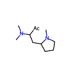 CC(=O)C(CC1CCCN1C)N(C)C